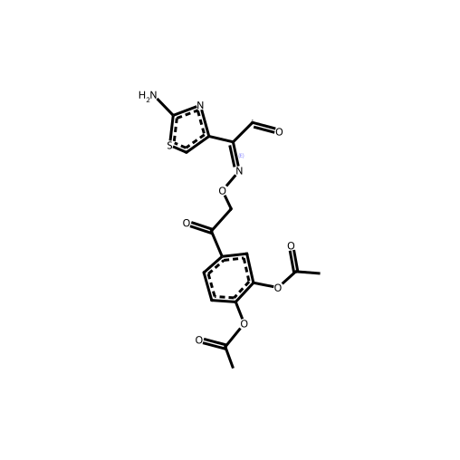 CC(=O)Oc1ccc(C(=O)CO/N=C(/[C]=O)c2csc(N)n2)cc1OC(C)=O